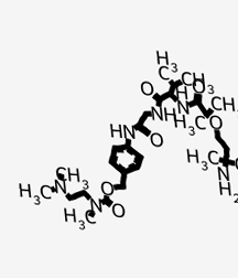 CC(C)C(NC(=O)C(C)(C)OCCC(C)(C)N)C(=O)NCC(=O)Nc1ccc(COC(=O)N(C)CCN(C)C)cc1